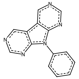 c1ccc(-n2c3ncncc3c3cncnc32)cc1